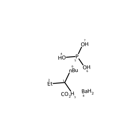 CCCCC(CC)C(=O)O.OP(O)O.[BaH2]